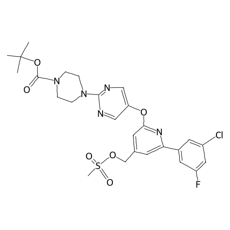 CC(C)(C)OC(=O)N1CCN(c2ncc(Oc3cc(COS(C)(=O)=O)cc(-c4cc(F)cc(Cl)c4)n3)cn2)CC1